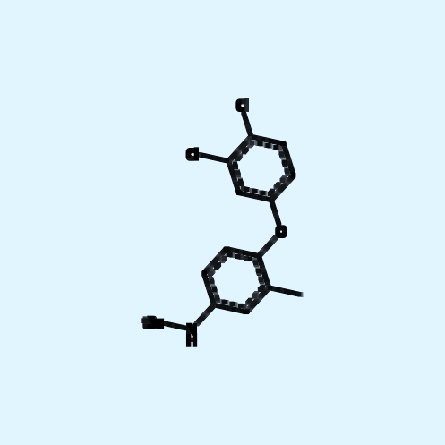 Cc1cc(NC(C)(C)C)ccc1Oc1ccc(Cl)c(Cl)c1